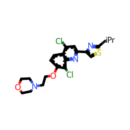 CC(C)c1nc(-c2cc(Cl)c3ccc(OCCN4CCOCC4)c(Cl)c3n2)cs1